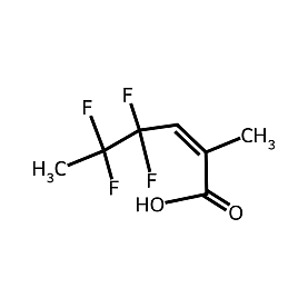 CC(=CC(F)(F)C(C)(F)F)C(=O)O